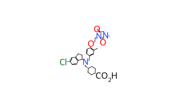 Cc1cc(CN(C[C@H]2CC[C@H](C(=O)O)CC2)C2CCc3cc(Cl)ccc32)ccc1OCCN1C(=O)CN(C)C1=O